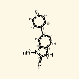 CCCn1c(=O)[nH]c2ncc(-c3ccncc3)cc21